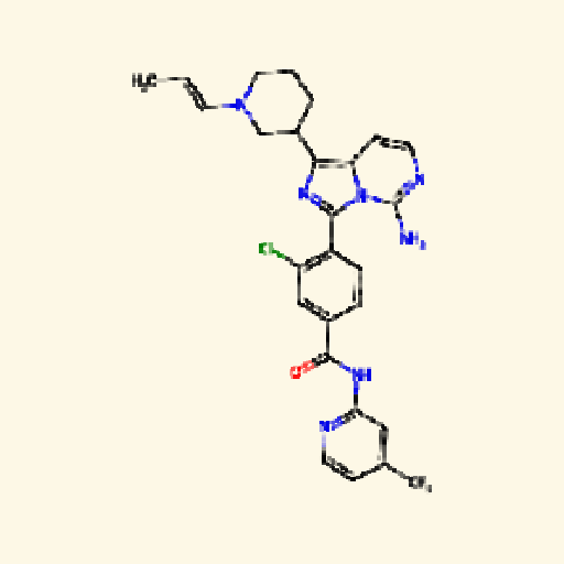 CC=CN1CCCC(c2nc(-c3ccc(C(=O)Nc4cc(C(F)(F)F)ccn4)cc3Cl)n3c(N)nccc23)C1